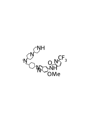 COc1cc2nn([C@H]3CC[C@H](CN(C)C4CCN(C5CCNCC5)CC4)CC3)cc2cc1NC(=O)c1cccc(C(F)(F)F)n1